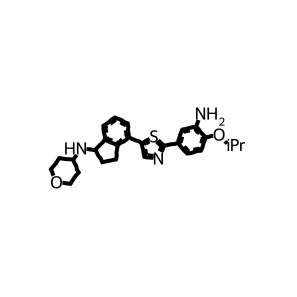 CC(C)Oc1ccc(-c2ncc(-c3cccc4c3CCC4NC3CCOCC3)s2)cc1N